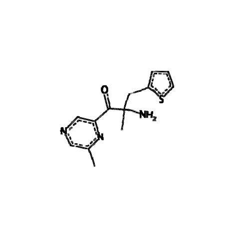 Cc1cncc(C(=O)C(C)(N)Cc2cccs2)n1